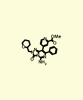 COC(=O)c1cc(-c2c(-c3ccccc3)nc(N)n3c(=O)n(CC4CCCCO4)nc23)ccn1